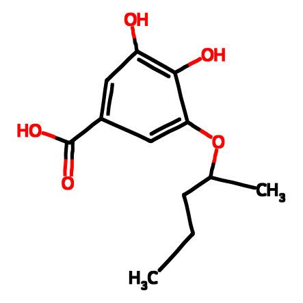 CCCC(C)Oc1cc(C(=O)O)cc(O)c1O